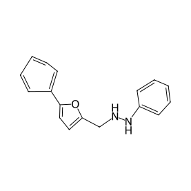 c1ccc(NNCc2ccc(-c3ccccc3)o2)cc1